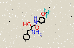 N[C@H](CC1CCCCC1)C(O)C(=O)Nc1cccc(OC(F)(F)F)c1